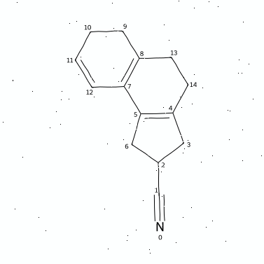 N#CC1CC2=C(C1)C1=C(CCC=C1)CC2